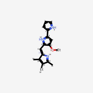 CCOc1cc(-c2ccc[nH]2)[nH]c1/C=C1\N=C(C)C(CC)=C1C